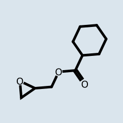 O=C(OCC1CO1)C1CCCCC1